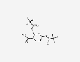 CC(C)(I)C(=O)OC1CCC(C(=O)O)C(OC(=O)C(C)(C)I)C1